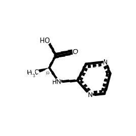 C[C@H](Nc1cnccn1)C(=O)O